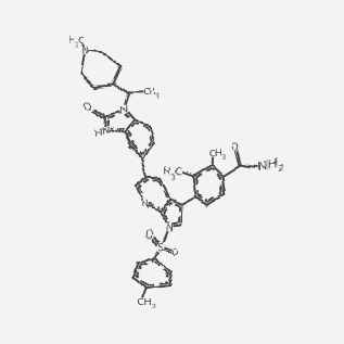 Cc1ccc(S(=O)(=O)n2cc(-c3ccc(C(N)=O)c(C)c3C)c3cc(-c4ccc5c(c4)[nH]c(=O)n5C(C)C4CCN(C)CC4)cnc32)cc1